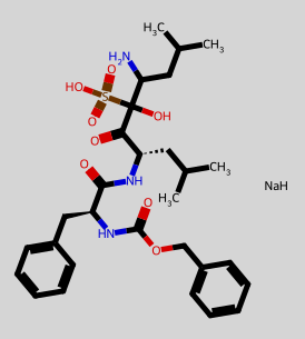 CC(C)CC(N)C(O)(C(=O)[C@H](CC(C)C)NC(=O)[C@H](Cc1ccccc1)NC(=O)OCc1ccccc1)S(=O)(=O)O.[NaH]